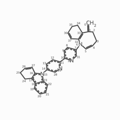 C=C1CC/C=C\N(c2ccc(-c3ccc(-n4c5c(c6ccccc64)CCC=C5)cn3)nc2)C2=C1CCC=C2